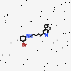 FC(F)(F)c1ccnc(CCCCCNc2cccc(Br)c2)c1